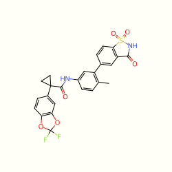 Cc1ccc(NC(=O)C2(c3ccc4c(c3)OC(F)(F)O4)CC2)cc1-c1ccc2c(c1)C(=O)NS2(=O)=O